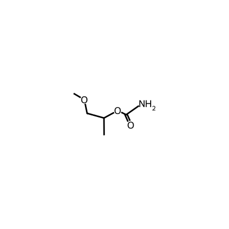 COCC(C)OC(N)=O